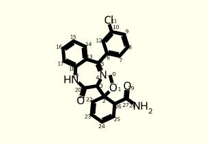 COC1(C2N=C(c3cccc(Cl)c3)c3ccccc3NC2=O)C=CC=CC1C(N)=O